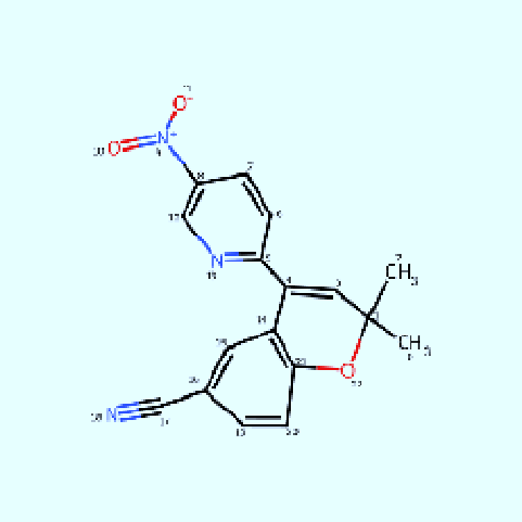 CC1(C)C=C(c2ccc([N+](=O)[O-])cn2)c2cc(C#N)ccc2O1